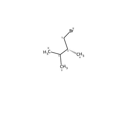 CC(C)[C@@H](C)CBr